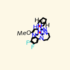 COc1cc(N2C[C@H]3CC[C@H](C2)C3Nc2nc3n(n2)CCCCN3c2ccc(F)c(F)c2)ncn1